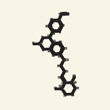 COc1ccc(C2CN(C)Cc3cc(OCC[C]=C4N(C)CCCN4C)ccc32)cc1